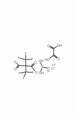 O=C(O)C(=O)O.O=C([O-])C(C(=O)[O-])(C(F)(F)F)C(F)(F)F.OB(O)O.[Li+].[Li+]